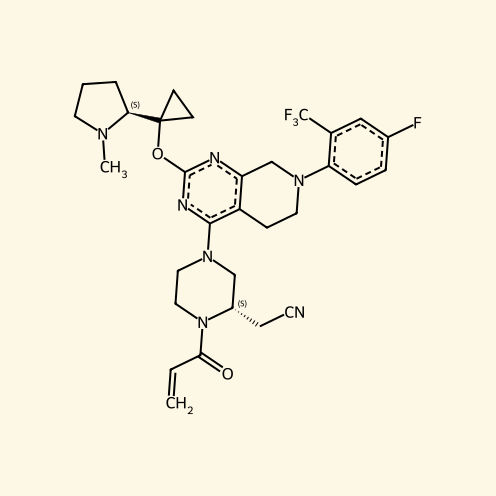 C=CC(=O)N1CCN(c2nc(OC3([C@@H]4CCCN4C)CC3)nc3c2CCN(c2ccc(F)cc2C(F)(F)F)C3)C[C@@H]1CC#N